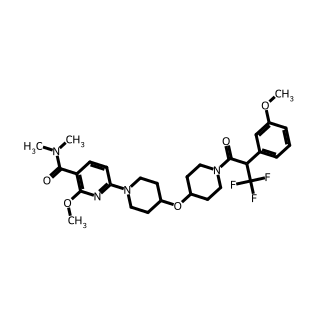 COc1cccc(C(C(=O)N2CCC(OC3CCN(c4ccc(C(=O)N(C)C)c(OC)n4)CC3)CC2)C(F)(F)F)c1